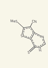 CSc1sc2c(=S)[nH]cnc2c1C#N